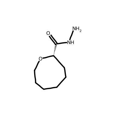 NNC(=O)[C@@H]1CCCCCCO1